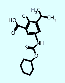 CC(C)c1cc(NC(=S)OC2CCCCC2)cc(C(=O)O)c1Cl